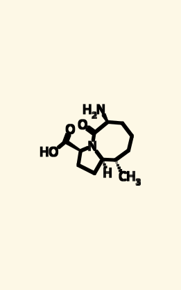 C[C@H]1CCC[C@H](N)C(=O)N2[C@@H]1CC[C@H]2C(=O)O